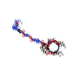 CO[C@H]1CC2CC[C@@H](C)C(O2)C(=O)C(=O)N2CCCC[C@H]2C(=O)O[C@H](CC[C@@H]2CC[C@@H](OC(=O)NCc3cnc(N4CCN(C(=O)CCOCCN5CCN(C(=O)CCC(=O)N6CCc7cc(Cn8nc(-c9ccc%10oc(N)nc%10c9)c9c(N)ncnc98)ccc7C6)CC5)CC4)nc3)[C@H](OC)C2)C[C@@H](OC)[C@H](C)/C=C(\C)[C@@H](O)CC(=O)[C@H](C)C[C@H](C)/C=C/C=C/C=C/1C